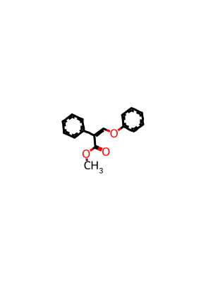 COC(=O)C(=COc1ccccc1)c1ccccc1